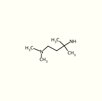 CN(C)CCC(C)(C)[NH]